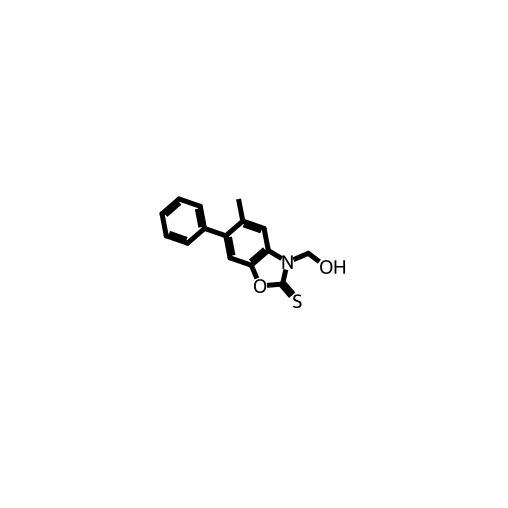 Cc1cc2c(cc1-c1ccccc1)oc(=S)n2CO